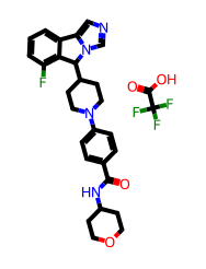 O=C(NC1CCOCC1)c1ccc(N2CCC(C3c4c(F)cccc4-c4cncn43)CC2)cc1.O=C(O)C(F)(F)F